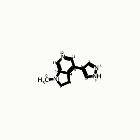 CN1CCc2c(-c3cn[nH]c3)cncc21